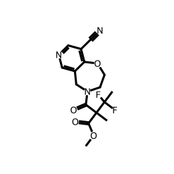 COC(=O)C(C)(C(=O)N1CCOc2c(C#N)cncc2C1)C(C)(F)F